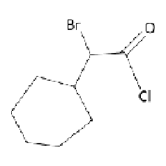 O=C(Cl)C(Br)C1CCCCC1